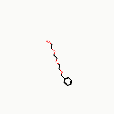 OCCOCCOCCOCc1ccccc1